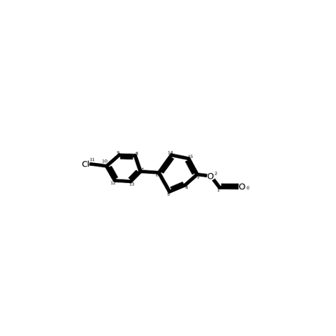 O=COc1ccc(-c2ccc(Cl)cc2)cc1